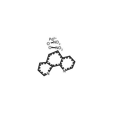 O=[N+]([O-])[O-].O=[N+]([O-])[O-].[Pd+2].c1cnc2c(c1)ccc1cccnc12